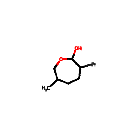 CC1CCC(C(C)C)C(O)OC1